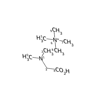 CN(C)CC(=O)O.C[N+](C)(C)C